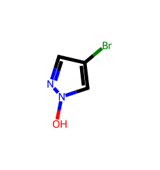 On1cc(Br)cn1